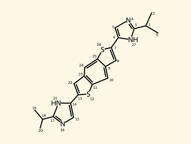 CC(C)c1ncc(-c2cc3cc4sc(-c5cnc(C(C)C)[nH]5)cc4cc3s2)[nH]1